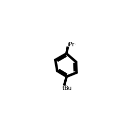 C[C](C)c1ccc(C(C)(C)C)cc1